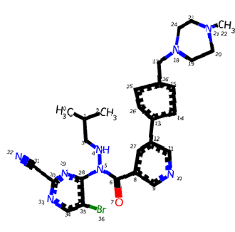 CC(C)CNN(C(=O)c1cncc(-c2ccc(CN3CCN(C)CC3)cc2)c1)c1nc(C#N)ncc1Br